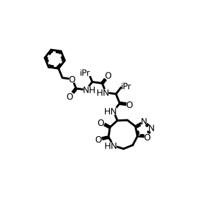 CC(C)C(NC(=O)OCc1ccccc1)C(=O)NC(C(=O)NC1Cc2nnoc2CCNC(=O)C1=O)C(C)C